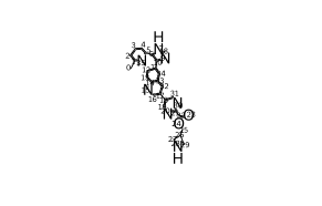 Cc1cccc(-c2[nH]cnc2-c2ccc3ncc(-c4cnc(C(=O)OCC5CNC5)nc4)cc3c2)n1